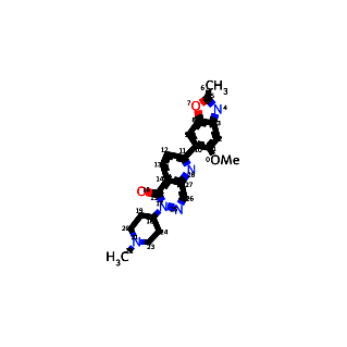 COc1cc2nc(C)oc2cc1-c1ccc2c(=O)n(C3CCN(C)CC3)ncc2n1